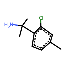 Cc1ccc(C(C)(C)N)c(Cl)c1